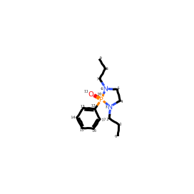 CCCN1CCN(CCC)P1(=O)c1ccccc1